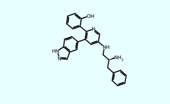 N[C@H](CNc1cnc(-c2ccccc2O)c(-c2ccc3[nH]ncc3c2)c1)Cc1ccccc1